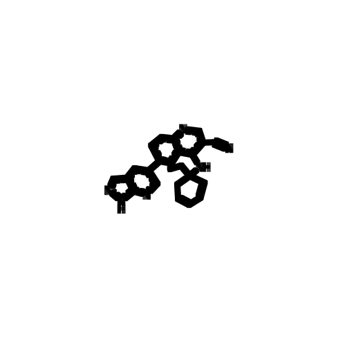 CCC1(Nc2c(C#N)cnc3ccc(-c4cnc5[nH]ncc5c4)cc23)C=CC=CC1